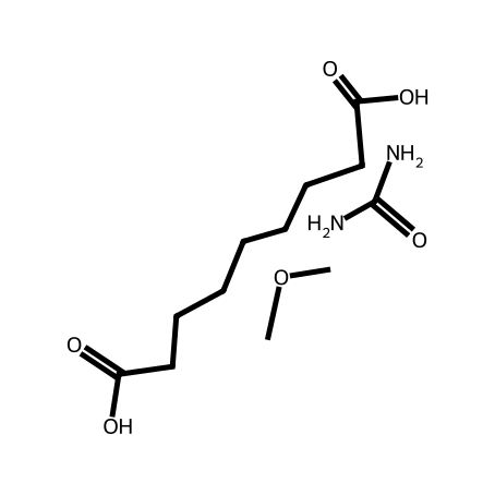 COC.NC(N)=O.O=C(O)CCCCCCCC(=O)O